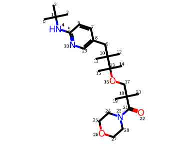 CC(C)(C)Nc1ccc(CC(C)(C)C(C)(C)OCC(C)(C)C(=O)N2CCOCC2)cn1